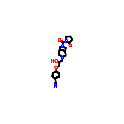 N#Cc1ccc(OC[C@H](O)CN2CC3CC(C2)CN(C(=O)N2CCCC2=O)C3)cc1